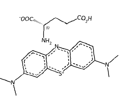 CN(C)c1ccc2nc3ccc(N(C)C)cc3[s+]c2c1.N[C@@H](CCC(=O)O)C(=O)[O-]